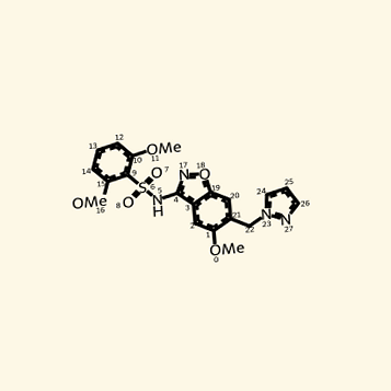 COc1cc2c(NS(=O)(=O)c3c(OC)cccc3OC)noc2cc1Cn1cccn1